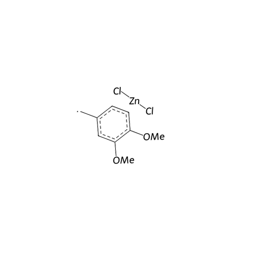 [CH2]c1ccc(OC)c(OC)c1.[Cl][Zn][Cl]